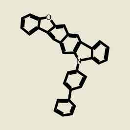 c1ccc(-c2ccc(-n3c4ccccc4c4cc5cc6oc7ccccc7c6cc5cc43)cc2)cc1